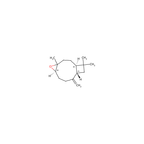 C=C1CC[C@H]2OC2(C)CC[C@@H]2[C@@H]1CC2(C)C